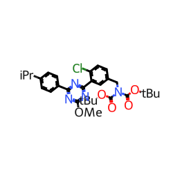 COc1nc(-c2ccc(C(C)C)cc2)nc(-c2cc(CN(C(=O)OC(C)(C)C)C(=O)OC(C)(C)C)ccc2Cl)n1